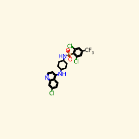 O=S(=O)(NC1CCC(Nc2ccnc3cc(Cl)ccc23)CC1)c1c(Cl)cc(C(F)(F)F)cc1Cl